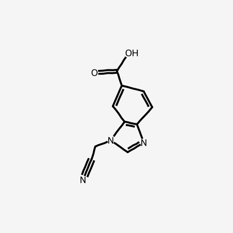 N#CCn1cnc2ccc(C(=O)O)cc21